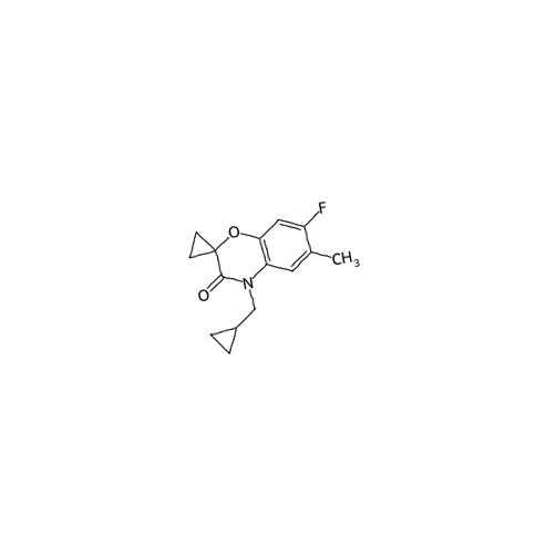 Cc1cc2c(cc1F)OC1(CC1)C(=O)N2CC1CC1